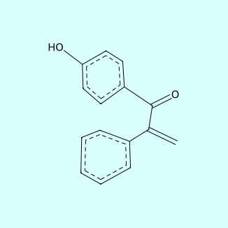 C=C(C(=O)c1ccc(O)cc1)c1ccccc1